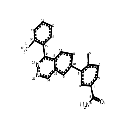 Cc1ccc(C(N)=O)cc1-c1ccc2c(-c3ccccc3C(F)(F)F)nncc2c1